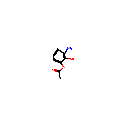 CCC(=O)Oc1cccc(N)c1O